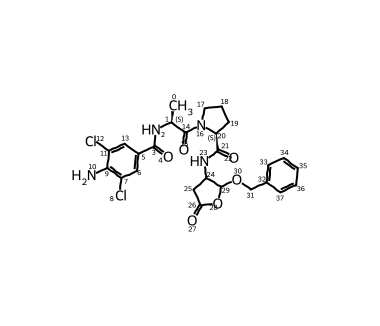 C[C@H](NC(=O)c1cc(Cl)c(N)c(Cl)c1)C(=O)N1CCC[C@H]1C(=O)NC1CC(=O)OC1OCc1ccccc1